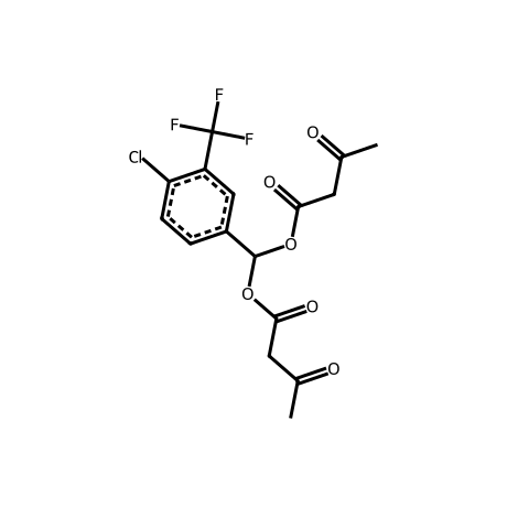 CC(=O)CC(=O)OC(OC(=O)CC(C)=O)c1ccc(Cl)c(C(F)(F)F)c1